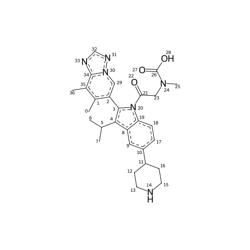 Cc1c(-c2c(C(C)C)c3cc(C4CCNCC4)ccc3n2C(=O)CN(C)C(=O)O)cn2ncnc2c1C